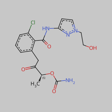 C[C@H](OC(N)=O)C(=O)Cc1cccc(Cl)c1C(=O)Nc1ccn(CCO)n1